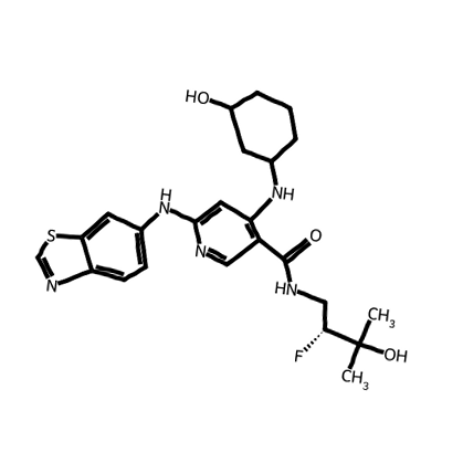 CC(C)(O)[C@H](F)CNC(=O)c1cnc(Nc2ccc3ncsc3c2)cc1NC1CCCC(O)C1